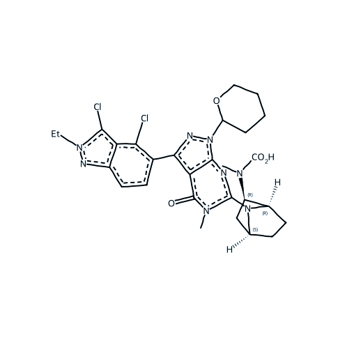 CCn1nc2ccc(-c3nn(C4CCCCO4)c4nc(N5[C@H]6CC[C@@H]5[C@H](N(C)C(=O)O)C6)n(C)c(=O)c34)c(Cl)c2c1Cl